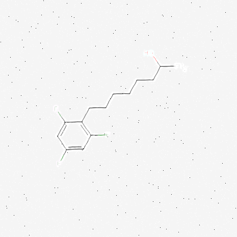 [CH2]C(O)CCCCCCc1c(F)cc(F)cc1F